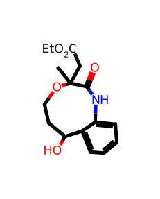 CCOC(=O)CC1(C)OCCC(O)c2ccccc2NC1=O